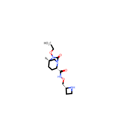 O=C(O)CON1C(=O)N2C[C@H]1CC[C@H]2C(=O)NOC[C@H]1CCN1